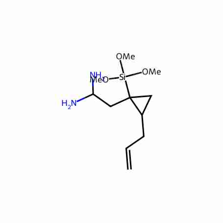 C=CCC1CC1(CC(N)N)[Si](OC)(OC)OC